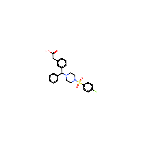 O=C(O)Cc1cccc(C(c2ccccc2)N2CCN(S(=O)(=O)c3ccc(F)cc3)CC2)c1